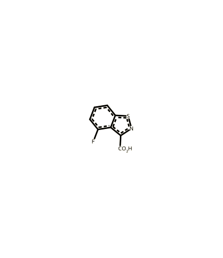 O=C(O)c1nsc2cccc(F)c12